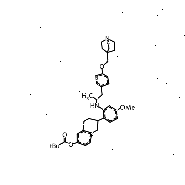 COc1ccc(C2CCc3cc(OC(=O)C(C)(C)C)ccc3C2)c(NC(C)Cc2ccc(OCC34CCN(CC3)CC4)cc2)c1